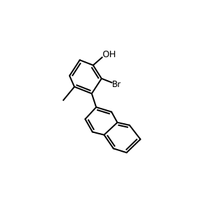 Cc1ccc(O)c(Br)c1-c1ccc2ccccc2c1